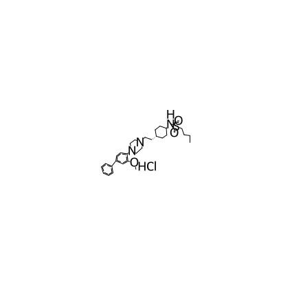 CCCCS(=O)(=O)N[C@H]1CC[C@H](CCN2CCN(c3ccc(-c4ccccc4)cc3OC)CC2)CC1.Cl